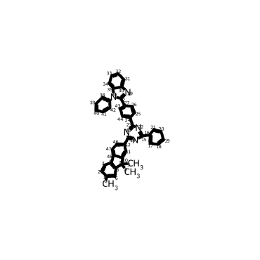 Cc1ccc2c(c1)C(C)(C)c1cc(-c3nc(-c4ccccc4)nc(-c4ccc(-c5nc6ccccc6n5-c5ccccc5)cc4)n3)ccc1-2